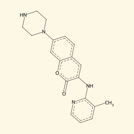 Cc1cccnc1Nc1cc2ccc(N3CCNCC3)cc2oc1=O